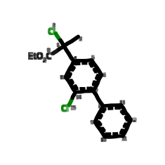 CCOC(=O)C(C)(Cl)c1ccc(-c2ccccc2)c(Cl)c1